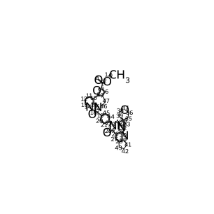 CCOC(=O)c1cc2c(o1)-c1cccnc1N(C(=O)c1ccc(NC(=O)c3cc4c(nc3N3CC5(CCOCC5)C3)CCC4)cc1)CC2